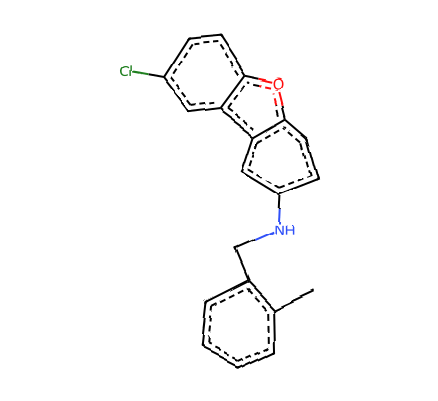 Cc1ccccc1CNc1ccc2oc3ccc(Cl)cc3c2c1